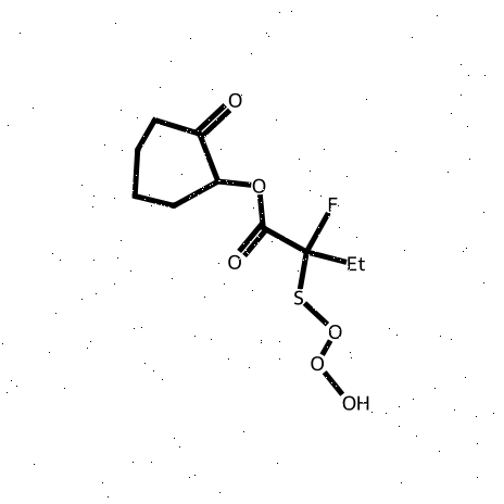 CCC(F)(SOOO)C(=O)OC1CCCCC1=O